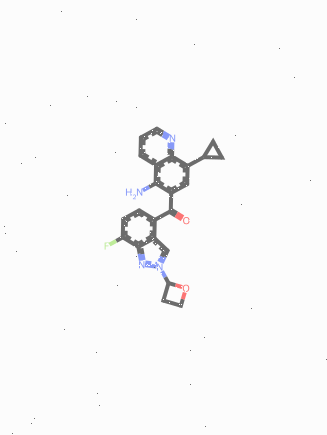 Nc1c(C(=O)c2ccc(F)c3nn(C4CCO4)cc23)cc(C2CC2)c2ncccc12